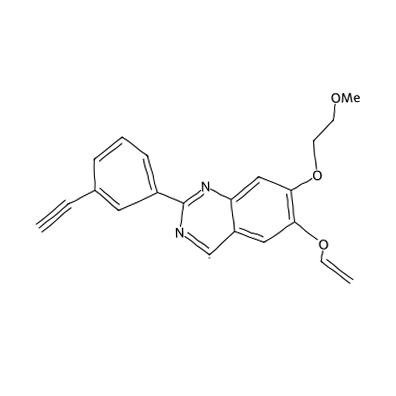 C#Cc1cccc(-c2n[c]c3cc(OC=C)c(OCCOC)cc3n2)c1